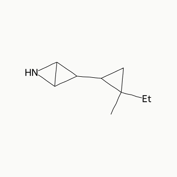 CCC1(C)CC1C1C2NC21